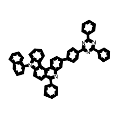 c1ccc(-c2nc(-c3ccccc3)nc(-c3ccc(-c4ccc5c(c4)nc(-c4ccccc4)c4ccc6c(c7ccccc7n6-c6cccc7ccccc67)c45)cc3)n2)cc1